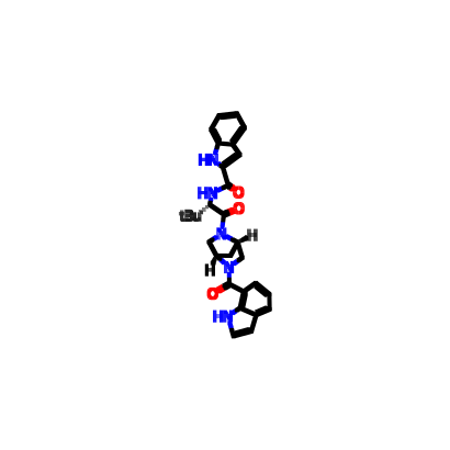 CC(C)(C)[C@H](NC(=O)c1cc2ccccc2[nH]1)C(=O)N1C[C@@H]2C[C@H]1CN2C(=O)c1cccc2cc[nH]c12